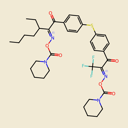 CCCCC(CC)/C(=N\OC(=O)N1CCCCC1)C(=O)c1ccc(Sc2ccc(C(=O)/C(=N/OC(=O)N3CCCCC3)C(F)(F)F)cc2)cc1